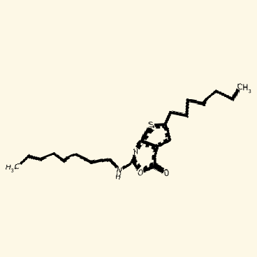 CCCCCCCCNc1nc2sc(CCCCCCC)cc2c(=O)o1